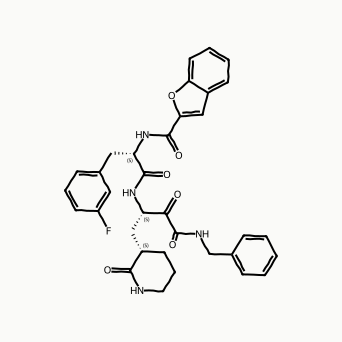 O=C(NCc1ccccc1)C(=O)[C@H](C[C@@H]1CCCNC1=O)NC(=O)[C@H](Cc1cccc(F)c1)NC(=O)c1cc2ccccc2o1